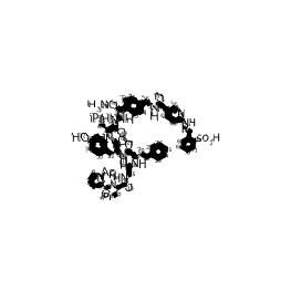 CC(=O)N1CCC[C@H]1C(=O)N[C@@H](CC(C)C)C(=O)NCC(=O)N[C@@H](CCc1ccccc1)C(=O)N[C@@H](Cc1ccc(O)cc1)C(=O)N[C@@H](CC(C)C)C(=O)NNC(=O)c1ccc(CNC(=O)c2ccc(NN=Cc3ccccc3S(=O)(=O)O)nc2)cc1.N